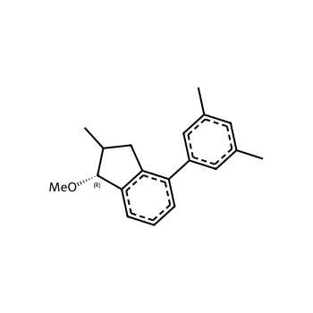 CO[C@H]1c2cccc(-c3cc(C)cc(C)c3)c2CC1C